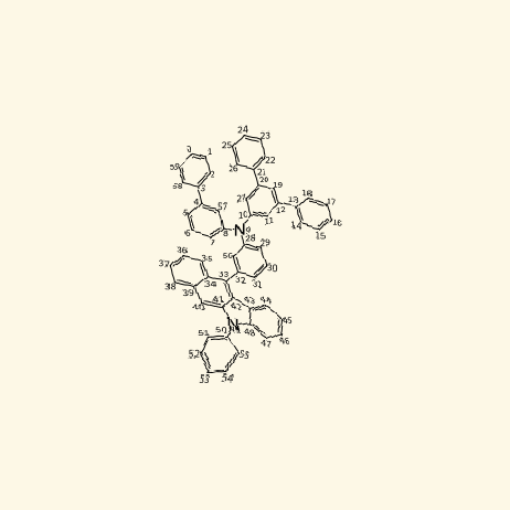 c1ccc(-c2cccc(N(c3cc(-c4ccccc4)cc(-c4ccccc4)c3)c3cccc(-c4c5ccccc5cc5c4c4ccccc4n5-c4ccccc4)c3)c2)cc1